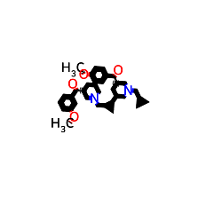 COc1ccc(C(=O)[C@@H]2CC(C3CC3CN3CCC[C@@H](C(=O)c4cccc(OC)c4)C3)CN(CC3CC3)C2)cc1